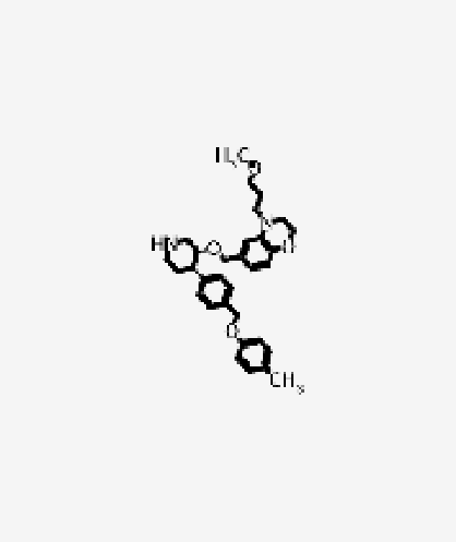 COCCCN1CCOc2ccc(CO[C@H]3CNCC[C@@H]3c3ccc(COc4ccc(C)cc4)cc3)cc21